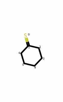 S=C1[CH]CCCC1